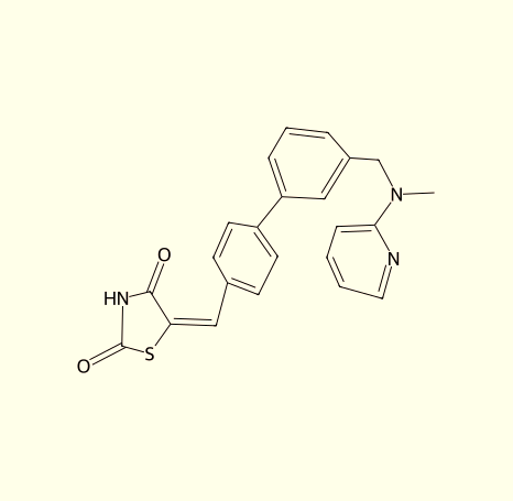 CN(Cc1cccc(-c2ccc(C=C3SC(=O)NC3=O)cc2)c1)c1ccccn1